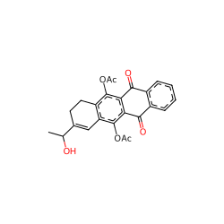 CC(=O)Oc1c2c(c(OC(C)=O)c3c1C(=O)c1ccccc1C3=O)CCC(C(C)O)=C2